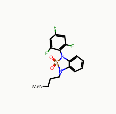 CNCCCN1c2ccccc2N(c2c(F)cc(F)cc2F)S1(=O)=O